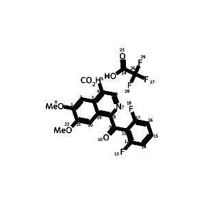 COc1cc2c(C(=O)O)cnc(C(=O)c3c(F)cccc3F)c2cc1OC.O=C(O)C(F)(F)F